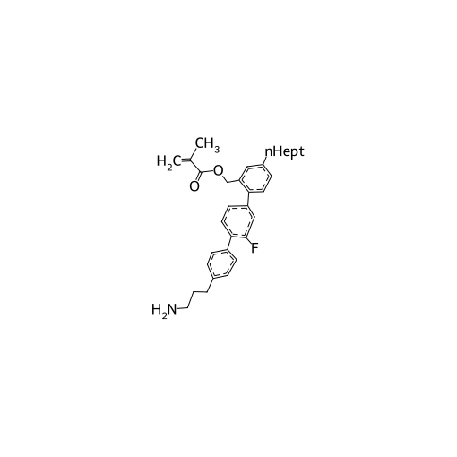 C=C(C)C(=O)OCc1cc(CCCCCCC)ccc1-c1ccc(-c2ccc(CCCN)cc2)c(F)c1